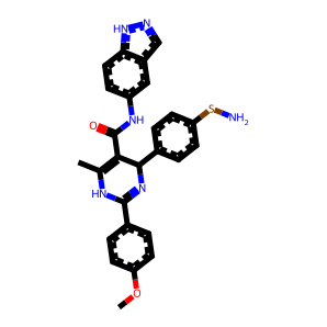 COc1ccc(C2=NC(c3ccc(SN)cc3)C(C(=O)Nc3ccc4[nH]ncc4c3)=C(C)N2)cc1